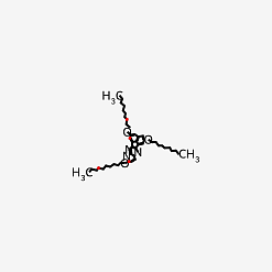 CCCCCCCCCCOc1cc2c3c(cc(OCCCCCCCCCC)cc3c1)-c1nc3nc(OCCCCCCCCCC)ccc3nc1-2